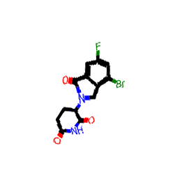 O=C1CCC(N2Cc3c(Br)cc(F)cc3C2=O)C(=O)N1